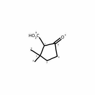 CC1(C)CCC(=O)C1C(=O)O